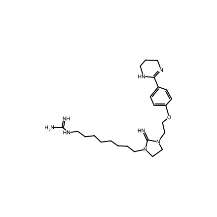 N=C(N)NCCCCCCCCN1CCN(CCOc2ccc(C3=NCCCN3)cc2)C1=N